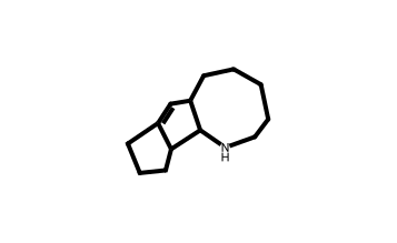 C1=C2CCCC2C2NCCCCCC12